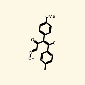 COc1ccc(C(C(=O)C=NO)=C(Cl)c2ccc(C)cc2)cc1